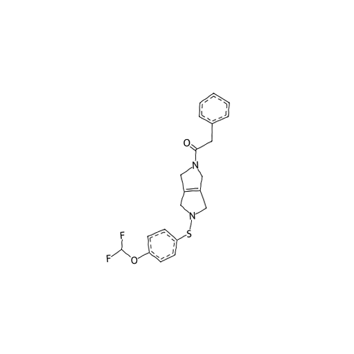 O=C(Cc1ccccc1)N1CC2=C(CN(Sc3ccc(OC(F)F)cc3)C2)C1